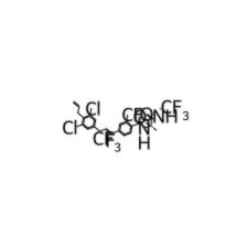 C=CCc1c(Cl)cc(C(/C=C(\F)c2ccc(C(=O)N[C@H](C)C(=O)NCC(F)(F)F)c(C(F)(F)F)c2)C(F)(F)F)cc1Cl